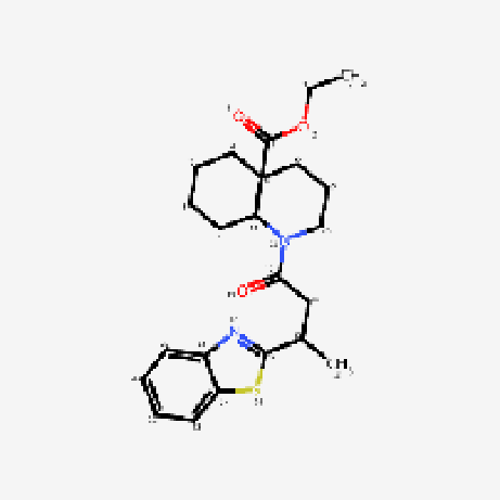 CCOC(=O)C12CCCCC1N(C(=O)CC(C)c1nc3ccccc3s1)CCC2